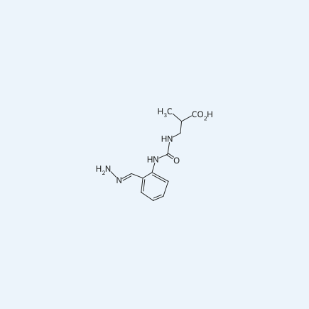 CC(CNC(=O)Nc1ccccc1C=NN)C(=O)O